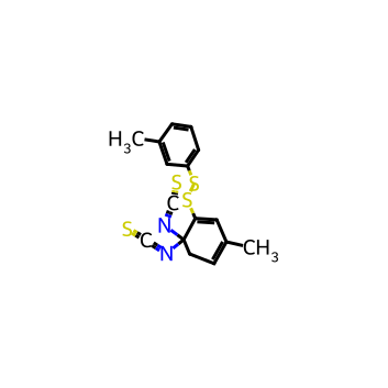 CC1=CCC(N=C=S)(N=C=S)C(SSc2cccc(C)c2)=C1